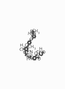 CC(C)(c1ccc(OCc2ccnc(NS(C)(=O)=O)n2)cc1)c1cc(Cl)c(OC2CN(CC(=O)Nc3ccc4c(c3)C(=O)N(C3CCC(=O)NC3=O)C4=O)C2)c(C#N)c1